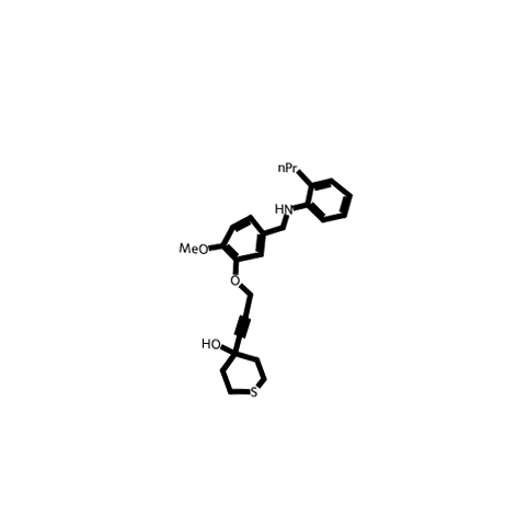 CCCc1ccccc1NCc1ccc(OC)c(OCC#CC2(O)CCSCC2)c1